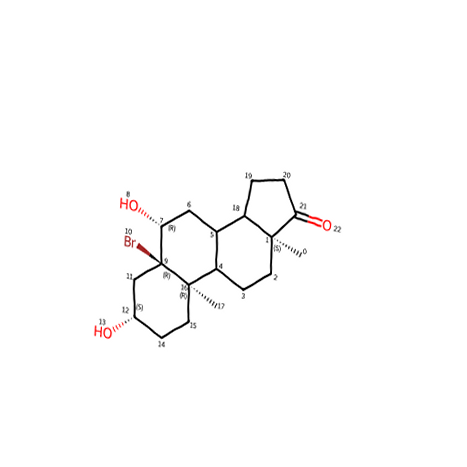 C[C@]12CCC3C(C[C@@H](O)[C@@]4(Br)C[C@@H](O)CC[C@]34C)C1CCC2=O